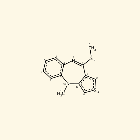 CSC1=Nc2ccccc2N(C)c2cscc21